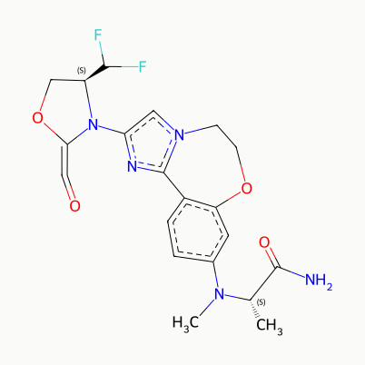 C[C@@H](C(N)=O)N(C)c1ccc2c(c1)OCCn1cc(N3C(=C=O)OC[C@H]3C(F)F)nc1-2